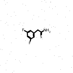 NC(=S)Cc1cc(F)cc(F)c1